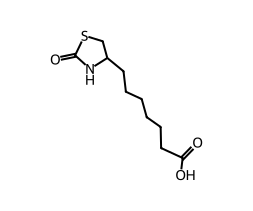 O=C(O)CCCCCCC1CSC(=O)N1